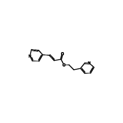 O=C(C=Cc1ccncc1)OCCc1cccnc1